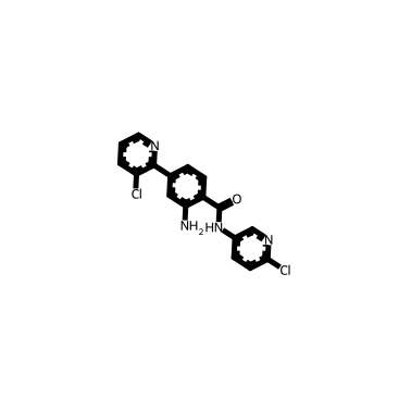 Nc1cc(-c2ncccc2Cl)ccc1C(=O)Nc1ccc(Cl)nc1